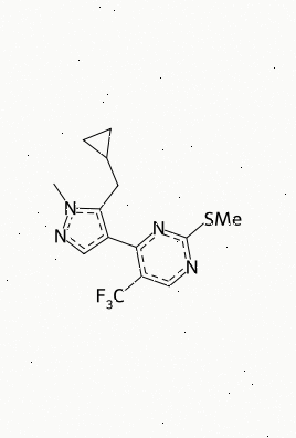 CSc1ncc(C(F)(F)F)c(-c2cnn(C)c2CC2CC2)n1